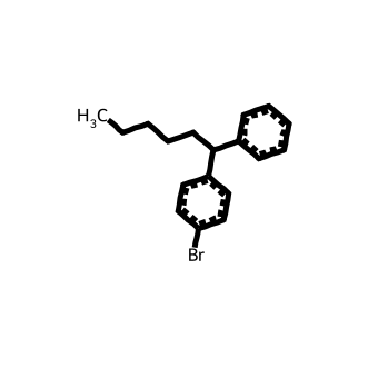 CCCCCC(c1ccccc1)c1ccc(Br)cc1